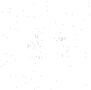 CCCNN1C(=O)c2cccc(c2)S(=O)(=O)Nc2nc(cc(-c3c(C)cccc3C)n2)OC[C@H]1CC1(C(F)(F)F)CC1